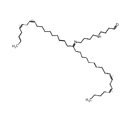 CCCC/C=C\C/C=C\CCCCCCCCCC(CCCCCCCCC/C=C\C/C=C\CCCC)=NCCCCNCCCC=O